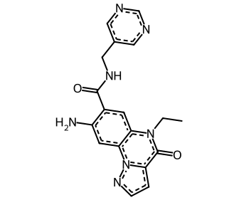 CCn1c(=O)c2ccnn2c2cc(N)c(C(=O)NCc3cncnc3)cc21